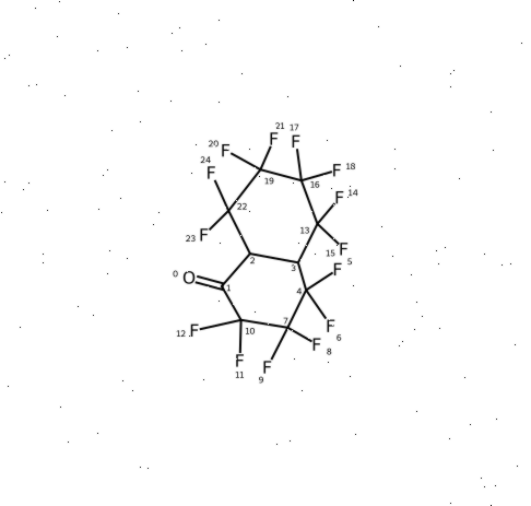 O=C1C2C(C(F)(F)C(F)(F)C1(F)F)C(F)(F)C(F)(F)C(F)(F)C2(F)F